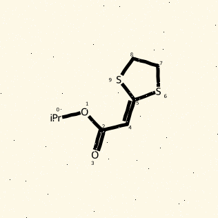 CC(C)OC(=O)C=C1SCCS1